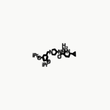 CC(C)Oc1cc(CN2CCC(NC(=O)c3ccc(C4CC4)nc3N)CC2)cc(OC(C)C)c1